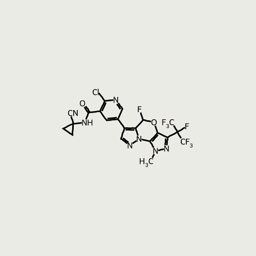 Cn1nc(C(F)(C(F)(F)F)C(F)(F)F)c2c1-n1ncc(-c3cnc(Cl)c(C(=O)NC4(C#N)CC4)c3)c1C(F)O2